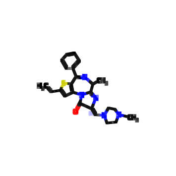 C=Cc1cc2c(s1)C(c1ccccc1)=NC(C)C1=N/C(=C\N3CCN(C)CC3)C(=O)N12